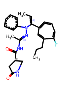 C/C=C(/C1=C=CC=C(F)C(CCC)=C1)N(/N=C(\C)NC(=O)[C@H]1CNC(=O)C1)c1ccccc1